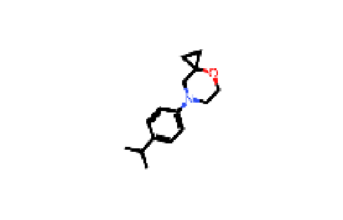 CC(C)c1ccc(N2CCOC3(CC3)C2)cc1